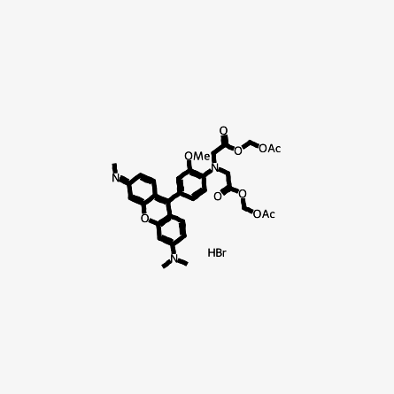 Br.CN=c1ccc2c(-c3ccc(N(CC(=O)OCOC(C)=O)CC(=O)OCOC(C)=O)c(OC)c3)c3ccc(N(C)C)cc3oc-2c1